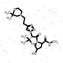 CNC(=O)C1CC(O)CN1C(=O)[C@@H](n1cc(CCN2CCOC(C)(C)C2)nn1)C(C)(C)C